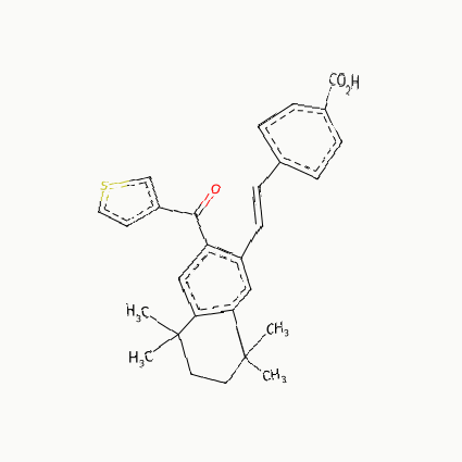 CC1(C)CCC(C)(C)c2cc(C(=O)c3ccsc3)c(/C=C/c3ccc(C(=O)O)cc3)cc21